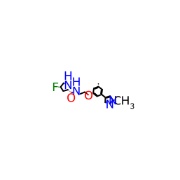 Cn1cc(-c2c[c]cc(OCCNC(=O)[C@@H]3C[C@H](F)CN3)c2)cn1